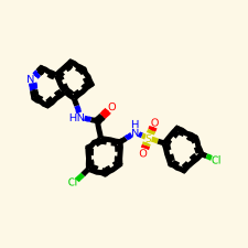 O=C(Nc1cccc2cnccc12)c1cc(Cl)ccc1NS(=O)(=O)c1ccc(Cl)cc1